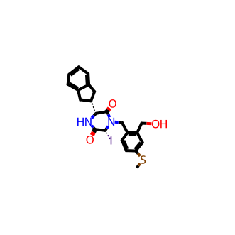 CSc1ccc(CN2C(=O)[C@@H](C3Cc4ccccc4C3)NC(=O)[C@H]2I)c(CO)c1